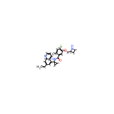 C=Cc1cc(C2(NC(=O)c3cc(OCC4CCN4)c(F)cc3C)CC2)c2cccnc2c1